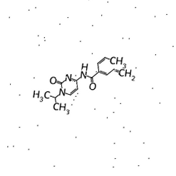 C=C/C=C(\C=C/C)C(=O)Nc1ccn(C(C)C)c(=O)n1